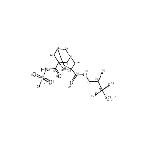 CS(=O)(=O)NC(=O)C12CC3CC(C1)CC(C(=O)OCC(F)C(F)(F)S(=O)(=O)O)(C3)C2